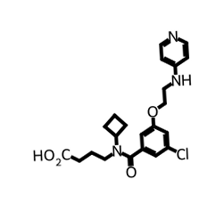 O=C(O)CCCN(C(=O)c1cc(Cl)cc(OCCNc2ccncc2)c1)C1CCC1